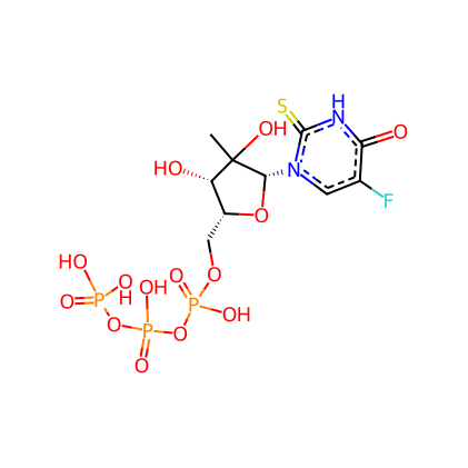 CC1(O)[C@@H](O)[C@@H](COP(=O)(O)OP(=O)(O)OP(=O)(O)O)O[C@H]1n1cc(F)c(=O)[nH]c1=S